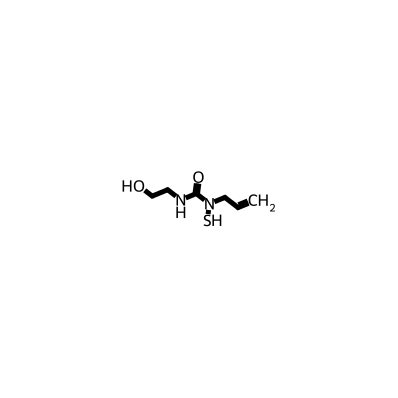 C=CCN(S)C(=O)NCCO